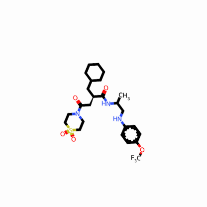 CC(CNc1ccc(OC(F)(F)F)cc1)NC(=O)[C@@H](CC(=O)N1CCS(=O)(=O)CC1)CC1CCCCC1